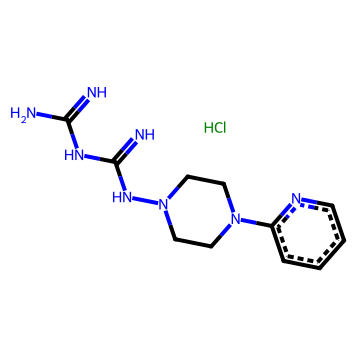 Cl.N=C(N)NC(=N)NN1CCN(c2ccccn2)CC1